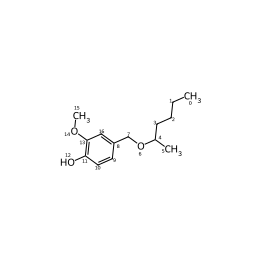 CCCCC(C)OCc1ccc(O)c(OC)c1